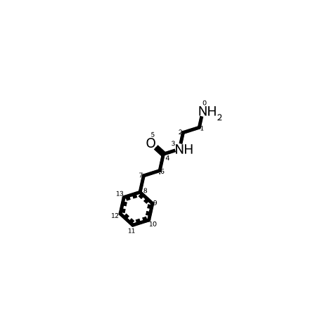 NCCNC(=O)[CH]Cc1ccccc1